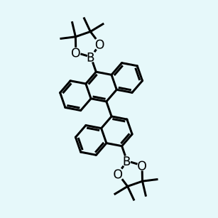 CC1(C)OB(c2ccc(-c3c4ccccc4c(B4OC(C)(C)C(C)(C)O4)c4ccccc34)c3ccccc23)OC1(C)C